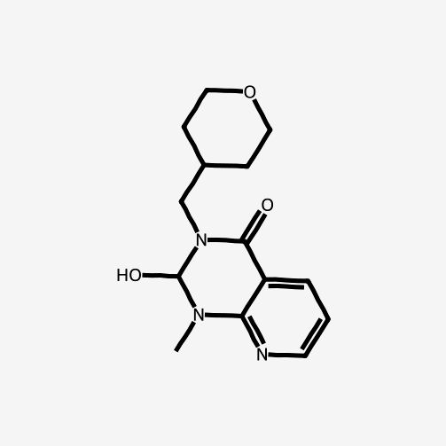 CN1c2ncccc2C(=O)N(CC2CCOCC2)C1O